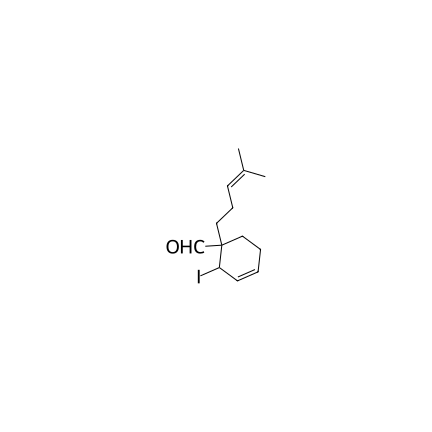 CC(C)=CCCC1(C=O)CCC=CC1I